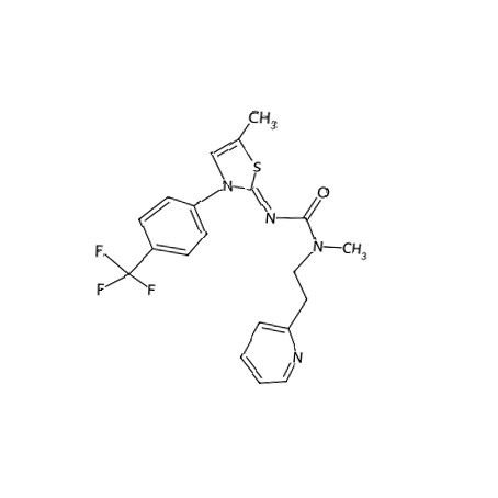 Cc1cn(-c2ccc(C(F)(F)F)cc2)c(=NC(=O)N(C)CCc2ccccn2)s1